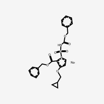 O=C(NS(=O)(=O)n1ccc(OCC2CC2)c1C(=O)OCc1ccccc1)OCc1ccccc1.[Na]